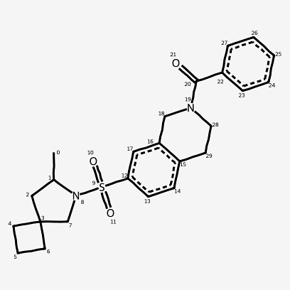 CC1CC2(CCC2)CN1S(=O)(=O)c1ccc2c(c1)CN(C(=O)c1ccccc1)CC2